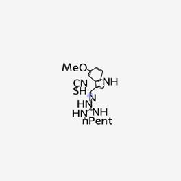 CCCCCNC(=N)N/N=C/c1c[nH]c2ccc(OC)cc12.N#CS